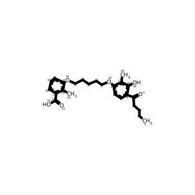 CCCCC(=O)c1ccc(OCCCCCOc2cccc(C(=O)O)c2C)c(C)c1O